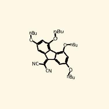 CCCCOc1cc(OCCCC)c2c(c1)C(=C(C#N)C#N)c1cc(OCCCC)cc(OCCCC)c1-2